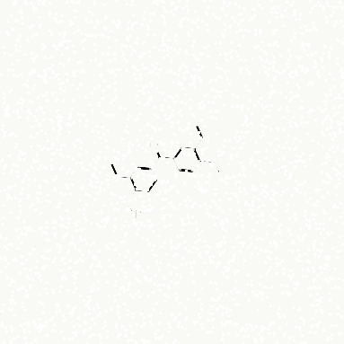 C=Cc1cc(C(=O)c2ccc(OC(C)C)c(C=C)c2)ccc1OC(C)C